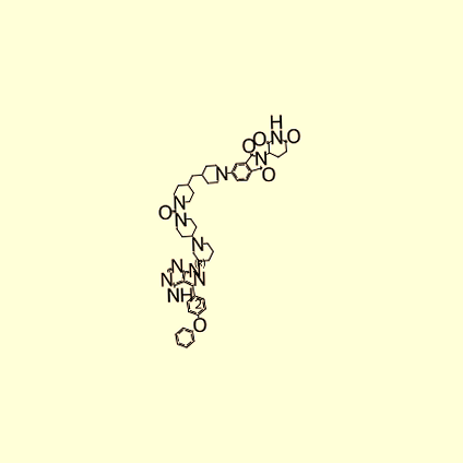 Nc1ncnc2c1c(-c1ccc(Oc3ccccc3)cc1)nn2[C@@H]1CCCN(C2CCN(C(=O)N3CCC(CC4CCN(c5ccc6c(c5)C(=O)N(C5CCC(=O)NC5=O)C6=O)CC4)CC3)CC2)C1